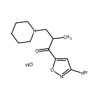 CCCc1cc(C(=O)C(C)CN2CCCCC2)on1.Cl